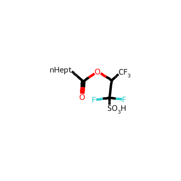 CCCCCCCC(=O)OC(C(F)(F)F)C(F)(F)S(=O)(=O)O